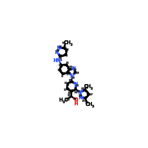 Cc1ccc(Nc2ccc3c(c2)ncn3-c2ccc(C(C)O)c(-n3nc(C)cc3C)n2)nn1